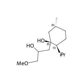 COCC(O)C[C@]1(O)C[C@H](C)CC[C@H]1C(C)C